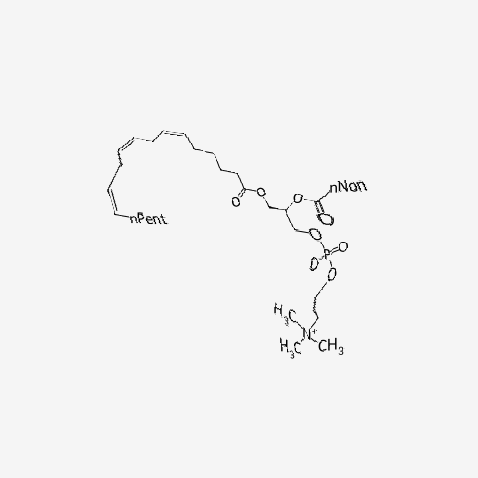 CCCCC/C=C\C/C=C\C/C=C\CCCCC(=O)OC[C@H](COP(=O)([O-])OCC[N+](C)(C)C)OC(=O)CCCCCCCCC